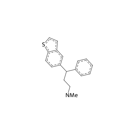 CNCCC(c1ccccc1)c1ccc2sccc2c1